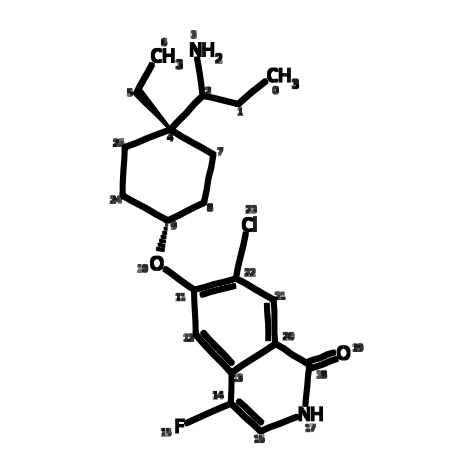 CCC(N)[C@]1(CC)CC[C@H](Oc2cc3c(F)c[nH]c(=O)c3cc2Cl)CC1